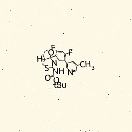 Cc1cncc(C2=C(F)C=C(F)C([C@@]34N=C(NC(=O)OC(C)(C)C)SC[C@@H]3CCO4)C2)c1